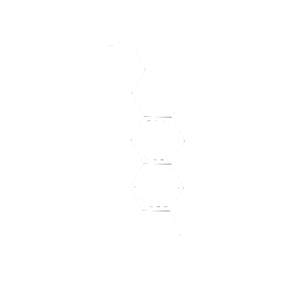 O=C(O)CCc1ccc2cc(Cl)ccc2c1